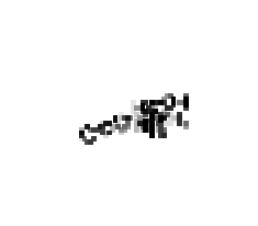 CC(C)(CO)NC(=O)C(N)Cc1ccc(OCc2ccccc2)cc1